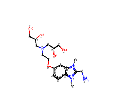 CCn1c(CN)[n+](CC)c2cc(OCCN(C[C@H](O)CO)C[C@H](O)CO)ccc21